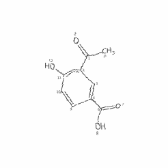 CC(=O)c1cc(C(=O)O)ccc1O